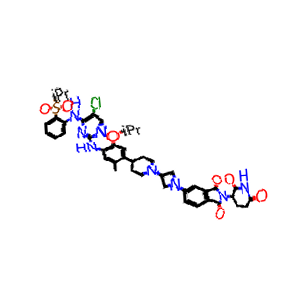 Cc1cc(Nc2ncc(Cl)c(Nc3ccccc3S(=O)(=O)C(C)C)n2)c(OC(C)C)cc1C1CCN(C2CN(c3ccc4c(c3)C(=O)N(C3CCC(=O)NC3=O)C4=O)C2)CC1